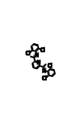 C/C(=N\c1c(Cl)cccc1Cl)c1cccc(/C(C)=N/c2c(Cl)cccc2Cl)n1